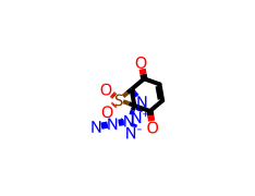 [N-]=[N+]=NC12C(=O)C=CC(=O)C1(N=[N+]=[N-])S2(=O)=O